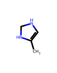 CC1=CNCN1